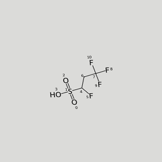 O=S(=O)(O)C(F)CC(F)(F)F